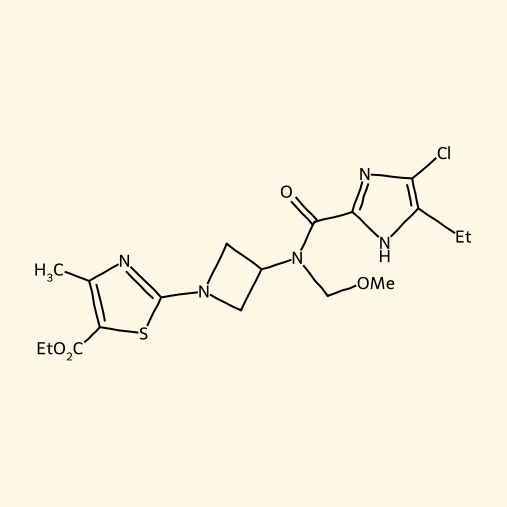 CCOC(=O)c1sc(N2CC(N(COC)C(=O)c3nc(Cl)c(CC)[nH]3)C2)nc1C